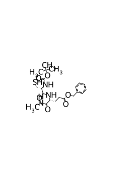 CNC(=O)[C@@H](CCC(=O)OCc1ccccc1)NC(=O)[C@H](CS)NC(=O)OC(C)(C)C